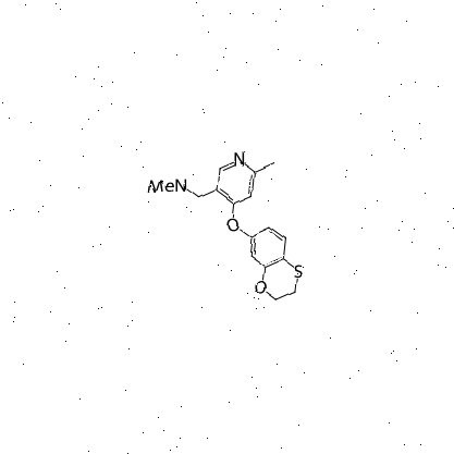 CNCc1cnc(C)cc1Oc1ccc2c(c1)OCCS2